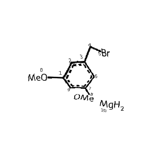 COc1cc(CBr)cc(OC)c1.[MgH2]